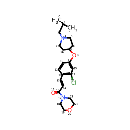 CC(C)CN1CCC(Oc2ccc(/C=C/C(=O)N3CCOCC3)c(Cl)c2)CC1